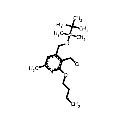 CCCCOc1nc(C)cc(CO[Si](C)(C)C(C)(C)C)c1CCl